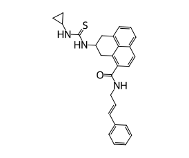 O=C(NCC=Cc1ccccc1)c1ccc2cccc3c2c1CC(NC(=S)NC1CC1)C3